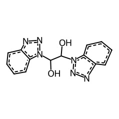 OC(C(O)n1nnc2ccccc21)n1nnc2ccccc21